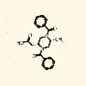 C[C@@H]1CN(C(=O)c2ccccc2)[C@H](CC(=O)O)CN1C(=O)c1ccccc1